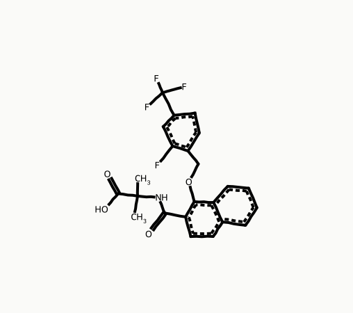 CC(C)(NC(=O)c1ccc2ccccc2c1OCc1ccc(C(F)(F)F)cc1F)C(=O)O